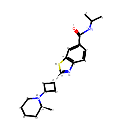 CC(C)NC(=O)c1ccc2nc([C@H]3C[C@H](N4CCCC[C@@H]4C)C3)sc2c1